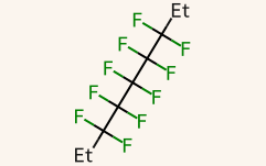 CCC(F)(F)C(F)(F)C(F)(F)C(F)(F)C(F)(F)CC